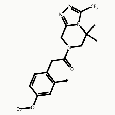 CCOc1ccc(CC(=O)N2Cc3nnc(C(F)(F)F)n3C(C)(C)C2)c(F)c1